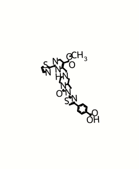 COC(=O)C1=C(CN2CCN3C(=O)N(c4nc(-c5ccc(C(=O)O)cc5)cs4)CC3C2)NC(c2nccs2)=NC1